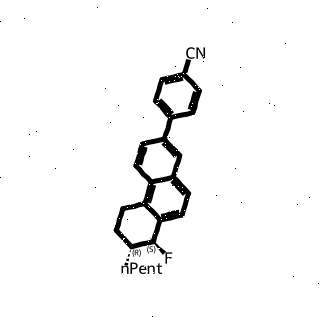 CCCCC[C@@H]1CCc2c(ccc3cc(-c4ccc(C#N)cc4)ccc23)[C@H]1F